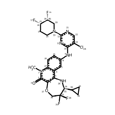 Cn1c(=O)c2c(c3cc(Nc4nc(N5CC[C@H](F)[C@H](F)C5)ncc4Cl)ccc31)N[C@@H](C1CC1)C(F)(F)CO2